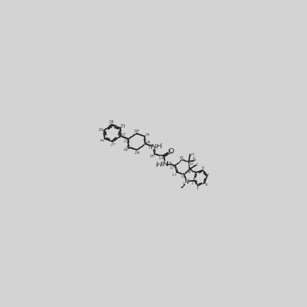 CN1c2ccccc2C2(C)C1CC(NC(=O)CNC1CCC(c3ccccc3)CC1)CC2(C)C